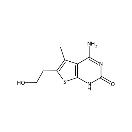 Cc1c(CCO)sc2[nH]c(=O)nc(N)c12